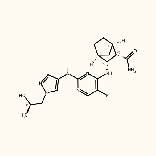 C[C@@H](O)Cn1cc(Nc2ncc(F)c(N[C@@H]3[C@H]4CC[C@H](C4)[C@@H]3C(N)=O)n2)cn1